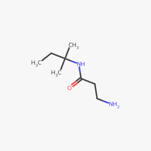 CCC(C)(C)NC(=O)CCN